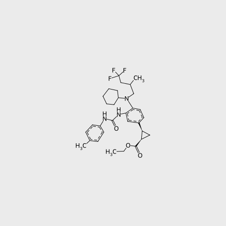 CCOC(=O)[C@@H]1C[C@@H]1c1ccc(N(CC(C)CC(F)(F)F)C2CCCCC2)c(NC(=O)Nc2ccc(C)cc2)c1